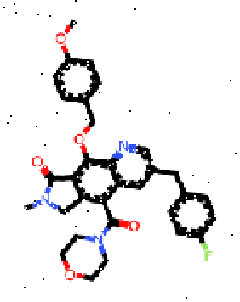 COc1ccc(COc2c3c(c(C(=O)N4CCOCC4)c4cc(Cc5ccc(F)cc5)cnc24)CN(C)C3=O)cc1